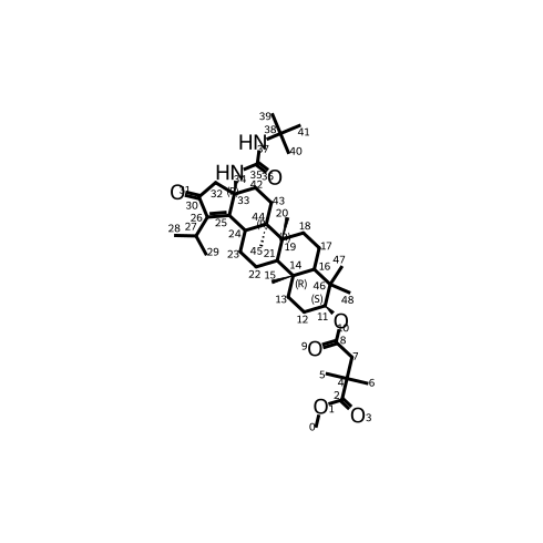 COC(=O)C(C)(C)CC(=O)O[C@H]1CC[C@@]2(C)C(CC[C@]3(C)C2CCC2C4=C(C(C)C)C(=O)C[C@]4(NC(=O)NC(C)(C)C)CC[C@]23C)C1(C)C